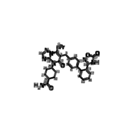 CCCc1c(Cc2ccc(-c3ccccc3-c3noc(=O)[nH]3)cc2)c(=O)n(C2CCC(C(N)=O)CC2)c2ncnn12